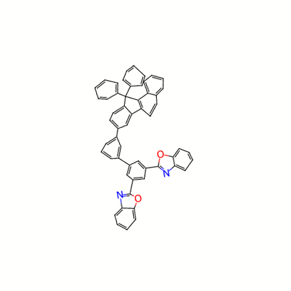 c1ccc(C2(c3ccccc3)c3ccc(-c4cccc(-c5cc(-c6nc7ccccc7o6)cc(-c6nc7ccccc7o6)c5)c4)cc3-c3ccc4ccccc4c32)cc1